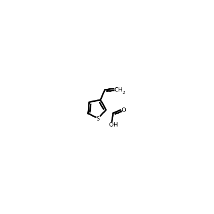 C=Cc1ccsc1.O=CO